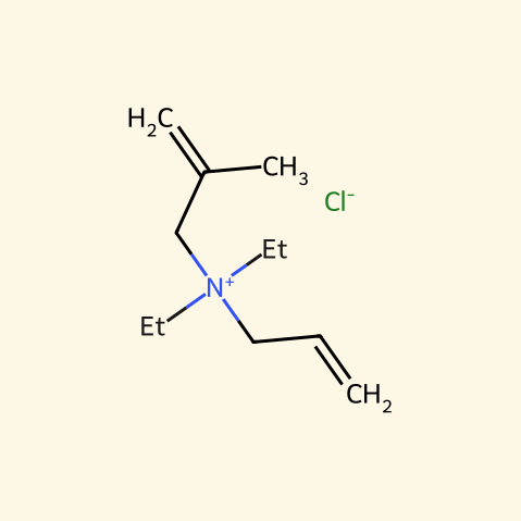 C=CC[N+](CC)(CC)CC(=C)C.[Cl-]